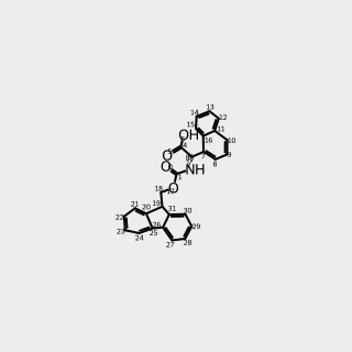 O=C(N[C@H](C(=O)O)c1cccc2ccccc12)OCC1c2ccccc2-c2ccccc21